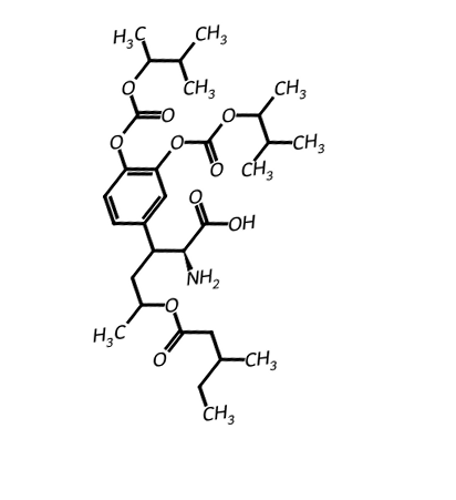 CCC(C)CC(=O)OC(C)CC(c1ccc(OC(=O)OC(C)C(C)C)c(OC(=O)OC(C)C(C)C)c1)[C@H](N)C(=O)O